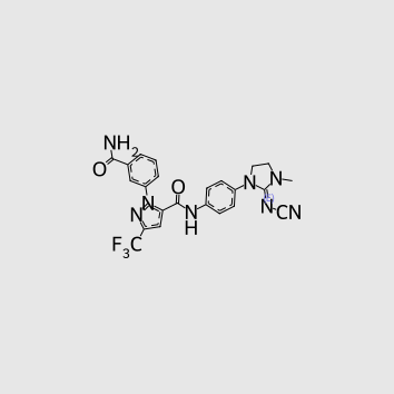 CN1CCN(c2ccc(NC(=O)c3cc(C(F)(F)F)nn3-c3cccc(C(N)=O)c3)cc2)/C1=N/C#N